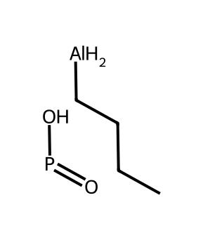 CCC[CH2][AlH2].O=PO